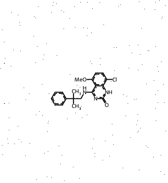 COc1ccc(Cl)c2[nH]c(=O)nc(NCC(C)(C)c3ccccc3)c12